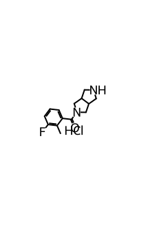 Cc1c(F)cccc1C(=O)N1CC2CNCC2C1.Cl